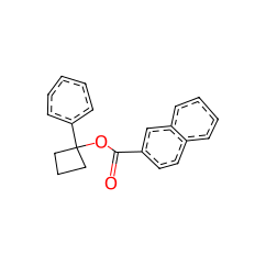 O=C(OC1(c2ccccc2)CCC1)c1ccc2ccccc2c1